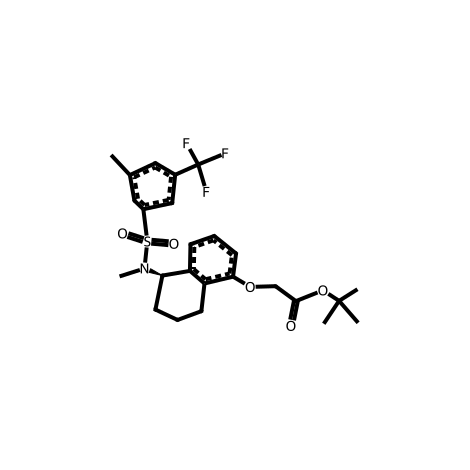 Cc1cc(C(F)(F)F)cc(S(=O)(=O)N(C)[C@@H]2CCCc3c(OCC(=O)OC(C)(C)C)cccc32)c1